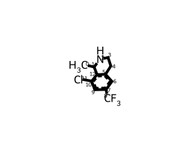 CC1NCCc2cc(C(F)(F)F)cc(Cl)c21